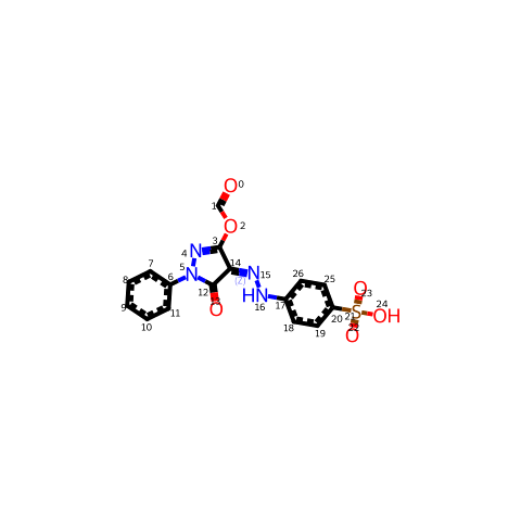 O=COC1=NN(c2ccccc2)C(=O)/C1=N\Nc1ccc(S(=O)(=O)O)cc1